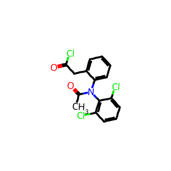 CC(=O)N(c1ccccc1CC(=O)Cl)c1c(Cl)cccc1Cl